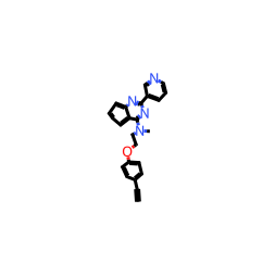 C#Cc1ccc(OCCN(C)c2nc(-c3cccnc3)nc3ccccc23)cc1